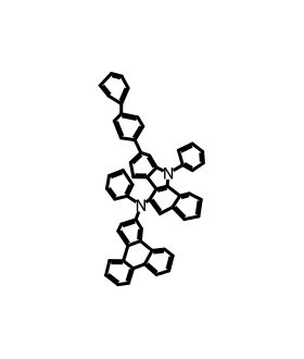 c1ccc(-c2ccc(-c3ccc4c5c(N(c6ccccc6)c6ccc7c8ccccc8c8ccccc8c7c6)cc6ccccc6c5n(-c5ccccc5)c4c3)cc2)cc1